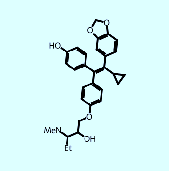 CCC(NC)C(O)COc1ccc(C(=C(c2ccc3c(c2)OCO3)C2CC2)c2ccc(O)cc2)cc1